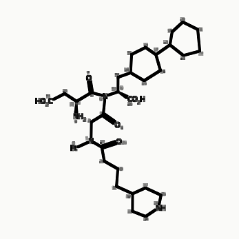 CCN(CC(=O)N(C(=O)[C@@H](N)CC(=O)O)[C@@H](CC1CCC(C2CCCCC2)CC1)C(=O)O)C(=O)CCCC1CCNCC1